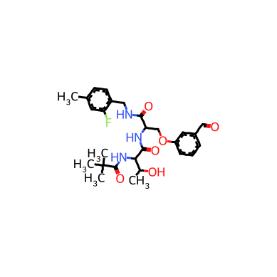 Cc1ccc(CNC(=O)C(COc2cccc(C=O)c2)NC(=O)C(NC(=O)C(C)(C)C)C(C)O)c(F)c1